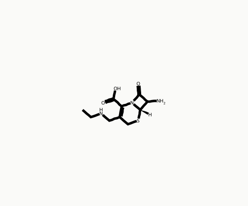 CCNCC1=C(C(=O)O)N2C(=O)C(N)[C@@H]2SC1